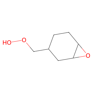 OOCC1CCC2OC2C1